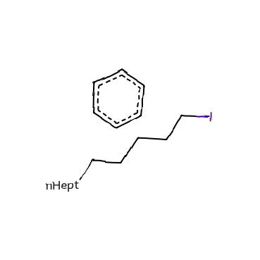 CCCCCCCCCCCCI.c1ccccc1